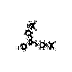 Cc1cn(C2CCN(CCc3cn(C4CCNCC4)nc3CC3CC(n4ncc(C)c4C)CCN3C)CC2)nc1C